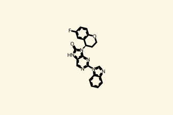 O=c1[nH]c2cnc(-n3cnc4ccccc43)nc2n1[C@@H]1CCOc2ccc(F)cc21